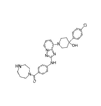 O=C(c1ccc(Nc2nc3c(N4CCC(O)(c5ccc(Cl)cc5)CC4)cccn3n2)cc1)N1CCCNCC1